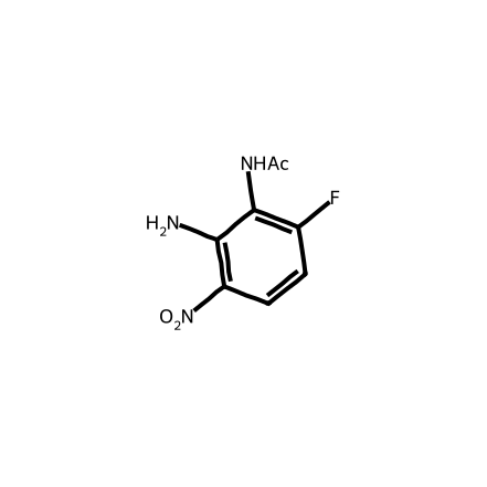 CC(=O)Nc1c(F)ccc([N+](=O)[O-])c1N